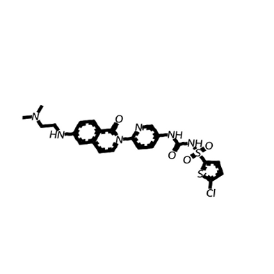 CN(C)CCNc1ccc2c(=O)n(-c3ccc(NC(=O)NS(=O)(=O)c4ccc(Cl)s4)cn3)ccc2c1